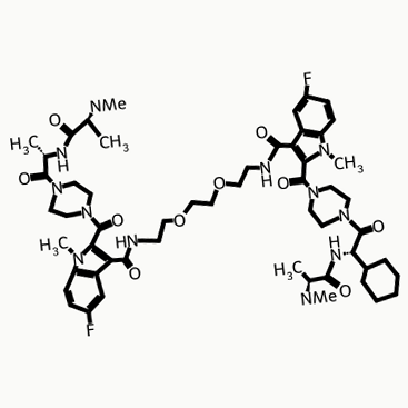 CN[C@@H](C)C(=O)N[C@@H](C)C(=O)N1CCN(C(=O)c2c(C(=O)NCCOCCOCCNC(=O)c3c(C(=O)N4CCN(C(=O)[C@@H](NC(=O)[C@H](C)NC)C5CCCCC5)CC4)n(C)c4ccc(F)cc34)c3cc(F)ccc3n2C)CC1